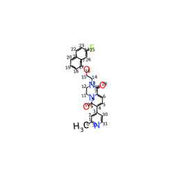 Cc1cc(-c2ccc3n(c2=O)CCN(CCOc2cccc4ccc(F)cc24)C3=O)ccn1